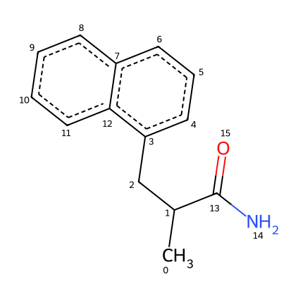 CC(Cc1cccc2ccccc12)C(N)=O